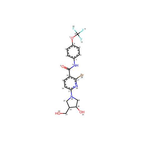 O=C(Nc1ccc(OC(F)(F)F)cc1)c1ccc(N2CC(O)C(CO)C2)nc1Br